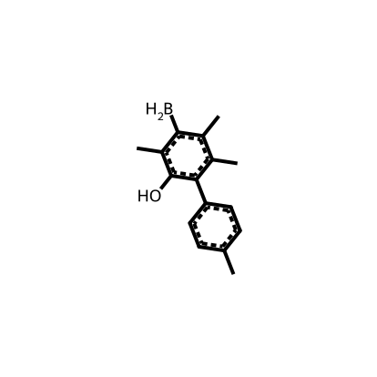 Bc1c(C)c(C)c(-c2ccc(C)cc2)c(O)c1C